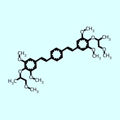 COCC(C)Oc1c(OC)cc(/C=C/c2ccc(/C=C/c3cc(OC)c(OC(C)COC)c(OC)c3)cc2)cc1OC